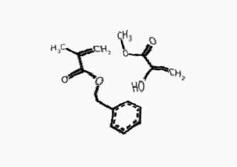 C=C(C)C(=O)OCc1ccccc1.C=C(O)C(=O)OC